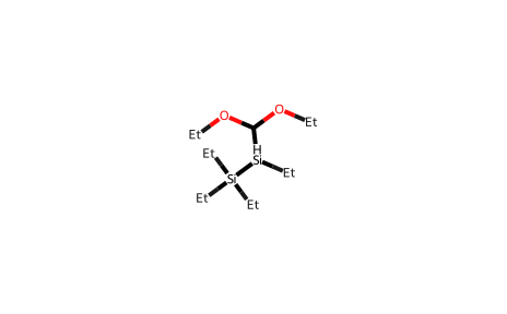 CCOC(OCC)[SiH](CC)[Si](CC)(CC)CC